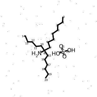 CCCCCCCCC(N)(CCCCC)CCCCCC.O=S(=O)(O)O